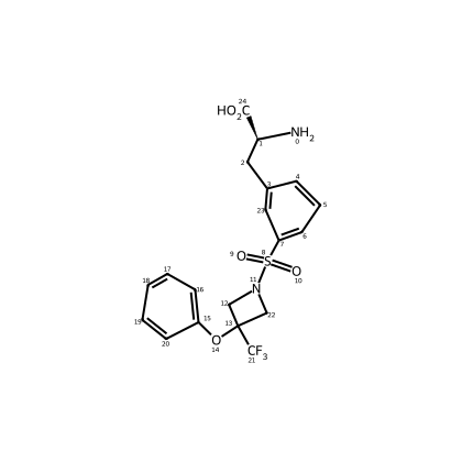 N[C@@H](Cc1cccc(S(=O)(=O)N2CC(Oc3ccccc3)(C(F)(F)F)C2)c1)C(=O)O